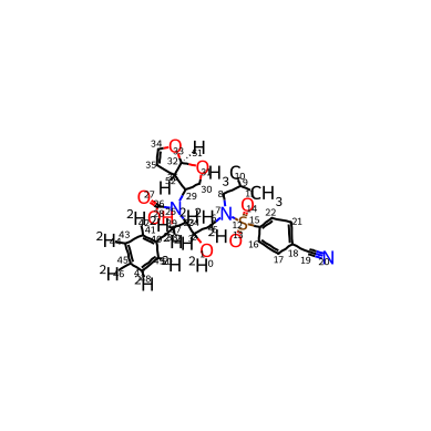 [2H]O[C@]([2H])(C([2H])([2H])N(CC(C)C)S(=O)(=O)c1ccc(C#N)cc1)[C@@]([2H])(N(C(=O)O)C1CO[C@@H]2OC=C[C@@H]12)C([2H])([2H])c1c([2H])c([2H])c([2H])c([2H])c1[2H]